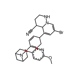 COc1ccc(CN2C3CC2CN(C2=NCC(C4=CC(Br)=CN5NCCC(C#N)C45)C=C2)C3)cn1